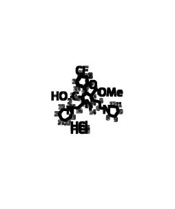 COC(=O)C1=C(CCN2CCCCC2)N(C)C(CCN2CCCCC2)=C(C(=O)O)C1c1ccc(C(F)(F)F)cc1.Cl.Cl